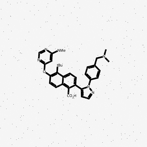 CNc1cc(Oc2ccc3c(C(=O)O)c(-c4ccnn4-c4ccc(CN(C)C)cc4)ccc3c2C(C)(C)C)ncn1